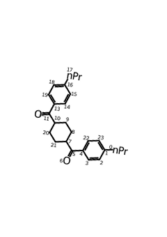 CCCc1ccc(C(=O)C2CCC(C(=O)c3ccc(CCC)cc3)CC2)cc1